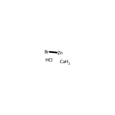 Cl.[CaH2].[Zn][Br]